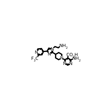 NCCn1cc(-c2ccnc(C(F)(F)F)c2)nc1C1CCN(c2ncnc(N)c2C(=O)O)CC1